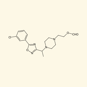 CC(c1noc(-c2cccc(Cl)c2)n1)N1CCN(CCOC=O)CC1